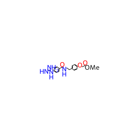 COC(=O)COc1ccc(CCNC(=O)c2ccc(NC(=N)N)cc2)cc1